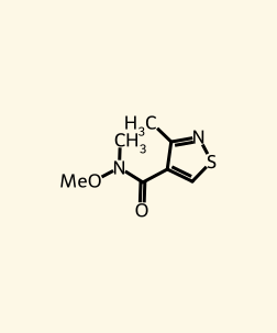 CON(C)C(=O)c1csnc1C